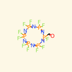 O=CP1(F)=NP(F)(F)=NP(F)(F)=NP(F)(F)=NP(F)(F)=NP(F)(F)=N1